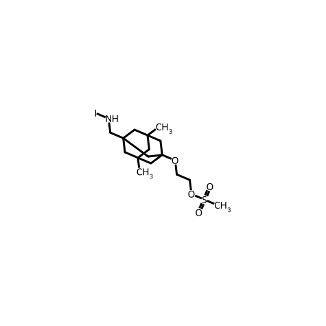 CC12CC3(C)CC(CNI)(C1)CC(OCCOS(C)(=O)=O)(C2)C3